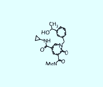 CNC(=O)c1cc(C(=O)NC2CC2)cn(Cc2cccc(C(C)O)c2)c1=O